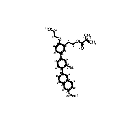 C=C(C)C(=O)OCCc1cc(-c2ccc(-c3ccc4cc(C(C)CCC)ccc4c3)c(CC)c2)ccc1OCCO